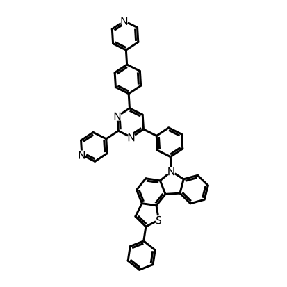 c1ccc(-c2cc3ccc4c(c5ccccc5n4-c4cccc(-c5cc(-c6ccc(-c7ccncc7)cc6)nc(-c6ccncc6)n5)c4)c3s2)cc1